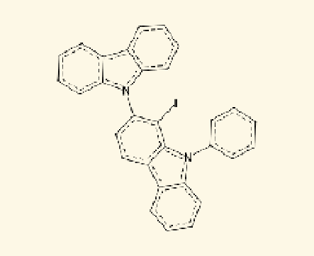 Ic1c(-n2c3ccccc3c3ccccc32)ccc2c3ccccc3n(-c3ccccc3)c12